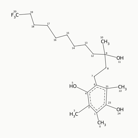 Cc1c(C)c(O)c(CCC(C)(O)CCCCCCCCC(F)(F)F)c(C)c1O